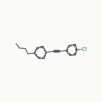 CCCCc1ccc(C#Cc2ccc(Cl)cc2)cc1